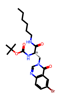 CCCCCCNC(=O)[C@H](Cn1cnc2ccc(Br)cc2c1=O)NC(=O)OC(C)(C)C